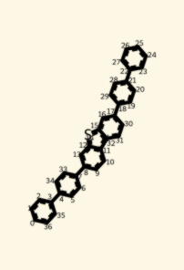 c1ccc(-c2ccc(-c3ccc4c(c3)sc3cc(-c5ccc(-c6ccccc6)cc5)ccc34)cc2)cc1